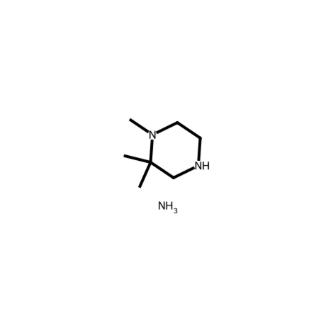 CN1CCNCC1(C)C.N